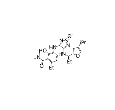 CCc1ccc(Nc2n[s+]([O-])nc2N[C@H](CC)c2cc(C(C)C)co2)c(O)c1C(=O)N(C)C